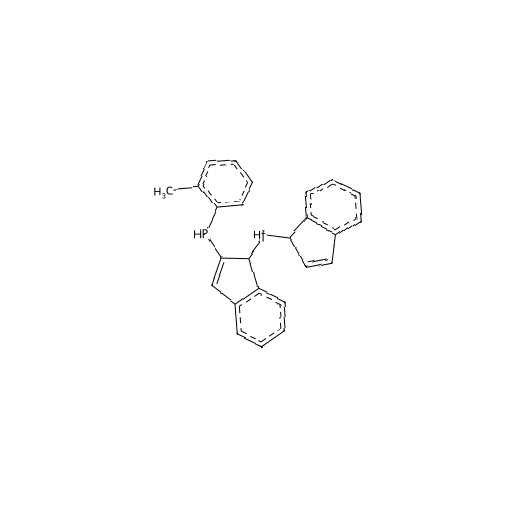 Cc1ccccc1PC1=Cc2ccccc2[CH]1[Hf][CH]1C=Cc2ccccc21